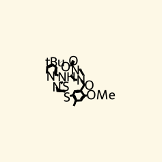 COc1cc(C)c(Sc2cnc(Nc3ccccn3)s2)cc1C(=O)N1CCN(C(=O)OC(C)(C)C)CC1